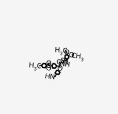 COc1cc2nc(NC(=O)C(Oc3ccc(C=N)cc3)c3ccc(S(=O)(=O)c4ccc(C)cc4)cc3)sc2cc1OC